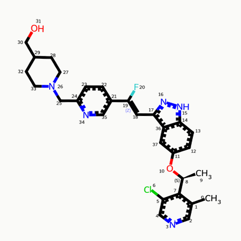 Cc1cncc(Cl)c1[C@H](C)Oc1ccc2[nH]nc(/C=C(\F)c3ccc(CN4CCC(CO)CC4)nc3)c2c1